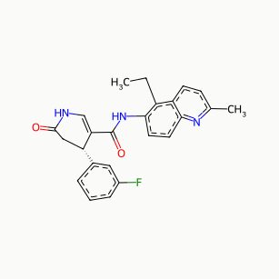 CCc1c(NC(=O)C2=CNC(=O)C[C@H]2c2cccc(F)c2)ccc2nc(C)ccc12